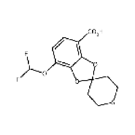 O=C(O)c1ccc(OC(F)F)c2c1OC1(CCSCC1)O2